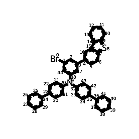 Brc1cc(-c2ccc3sc4ccccc4c3c2)cc(N(c2ccc(-c3ccccc3)cc2)c2ccc(-c3ccccc3)cc2)c1